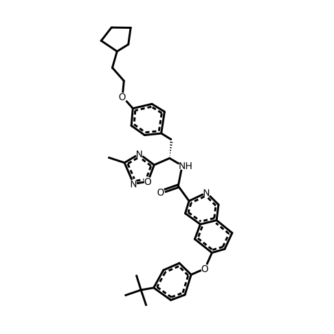 Cc1noc([C@H](Cc2ccc(OCCC3CCCC3)cc2)NC(=O)c2cc3cc(Oc4ccc(C(C)(C)C)cc4)ccc3cn2)n1